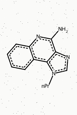 CCCn1cnc2c(N)nc3ccccc3c21